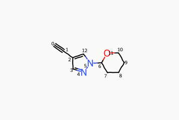 C#Cc1cnn(C2CCCCO2)c1